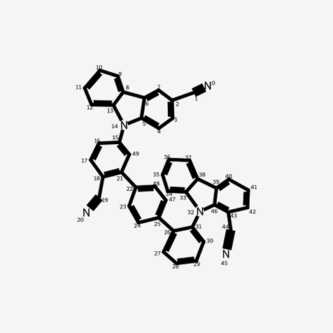 N#Cc1ccc2c(c1)c1ccccc1n2-c1ccc(C#N)c(-c2ccc(-c3ccccc3-n3c4ccccc4c4cccc(C#N)c43)cc2)c1